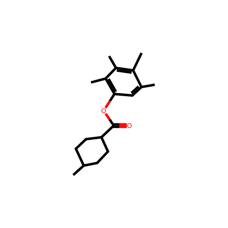 Cc1cc(OC(=O)C2CCC(C)CC2)c(C)c(C)c1C